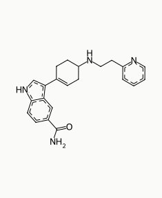 NC(=O)c1ccc2[nH]cc(C3=CCC(NCCc4ccccn4)CC3)c2c1